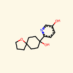 Oc1ccc(C2(O)CCC3(CCCO3)CC2)nc1